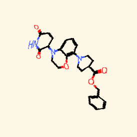 O=C1CCC(N2CCOc3c(N4CCC(C(=O)OCc5ccccc5)CC4)cccc32)C(=O)N1